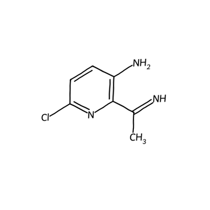 CC(=N)c1nc(Cl)ccc1N